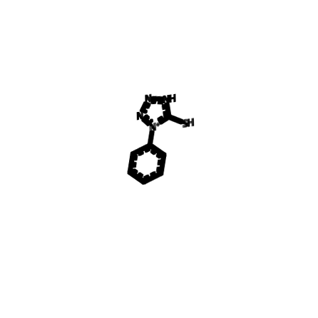 Sc1[nH]nn[n+]1-c1ccccc1